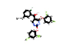 CSc1ccc(Cl)c(C(=O)c2cnc(Oc3ccc(F)cc3F)nc2Oc2ccc(F)cc2F)c1